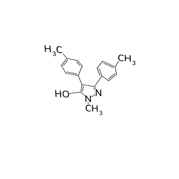 Cc1ccc(-c2nn(C)c(O)c2-c2ccc(C)cc2)cc1